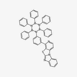 c1ccc(B2N(c3ccccc3)B(c3ccccc3)N(c3cccc(-c4nccc5c4sc4nc6ccccc6n45)c3)B(c3ccccc3)N2c2ccccc2)cc1